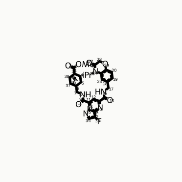 COC(=O)C12CCC(CNC(=O)c3cc(C(=O)NCc4ccc5c(c4)N(C(C)C)C(=O)CO5)nc4c(F)cnn34)(CC1)CC2